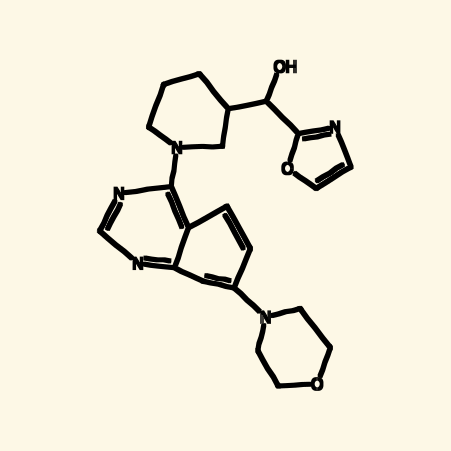 OC(c1ncco1)C1CCCN(c2ncnc3cc(N4CCOCC4)ccc23)C1